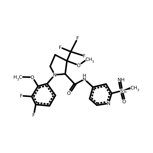 COc1c(N2CCC(OC)(C(F)(F)F)C2C(=O)Nc2ccnc([S@](C)(=N)=O)c2)ccc(F)c1F